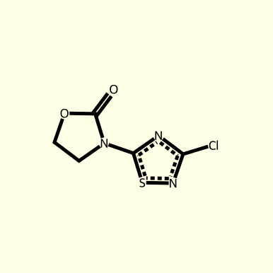 O=C1OCCN1c1nc(Cl)ns1